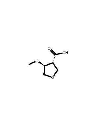 CO[C@@H]1COC[C@H]1C(=O)O